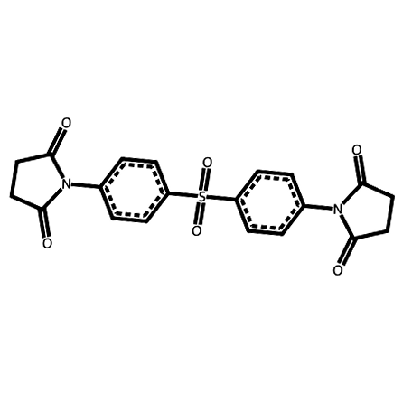 O=C1CCC(=O)N1c1ccc(S(=O)(=O)c2ccc(N3C(=O)CCC3=O)cc2)cc1